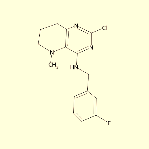 CN1CCCc2nc(Cl)nc(NCc3cccc(F)c3)c21